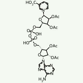 CC(=O)OC1[C@@H](COP(=O)(O)OP(=O)(O)OC[C@H]2O[C@@H]([n+]3cccc(C(=O)O)c3)[C@@H](OC(C)=O)C2OC(C)=O)O[C@@H](n2cnc3c(N)ncnc32)[C@H]1OC(C)=O